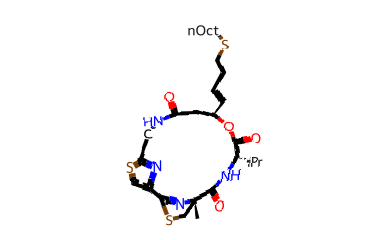 CCCCCCCCSCC/C=C/[C@@H]1CC(=O)NCc2nc(cs2)C2=N[C@@](C)(CS2)C(=O)N[C@@H](C(C)C)C(=O)O1